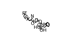 CC(C)(C=C(C#N)C(=O)N1CC[C@@H](OC(=O)NC(Cc2ccccc2)B(O)O)C1)N1CCC(F)(F)C1